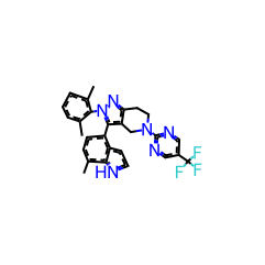 Cc1cccc(C)c1-n1nc2c(c1-c1ccc(C)c3[nH]ccc13)CN(c1ncc(C(F)(F)F)cn1)CC2